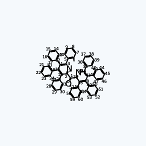 O=C(c1nc(-c2ccccc2)c(-c2ccccc2)c(-c2ccccc2)c1-c1ccccc1)c1nc(-c2ccccc2)c(-c2ccccc2)c(-c2ccccc2)c1-c1ccccc1